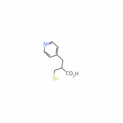 O=C(O)C(CS)Cc1ccncc1